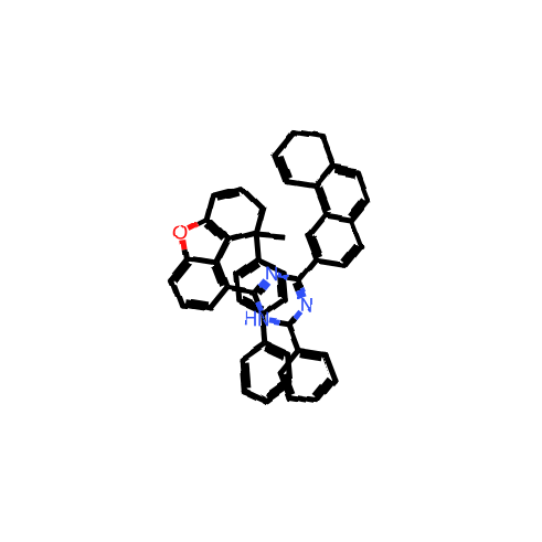 CC1(c2ccc(-c3ccccc3)cc2)CC=Cc2oc3cccc(C4=NC(c5ccc6ccc7c(c6c5)C=CCC7)=NC(c5ccccc5)N4)c3c21